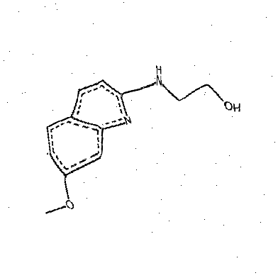 COc1[c]cc2ccc(NCCO)nc2c1